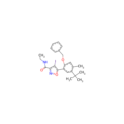 CCNC(=O)c1noc(-c2cc(C(C)(C)C)c(C)cc2OCc2ccccc2)c1I